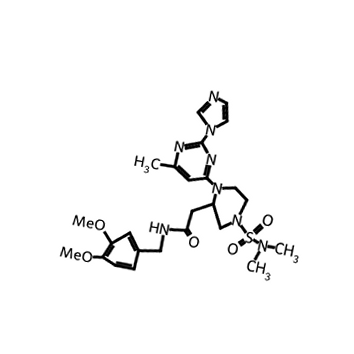 COc1ccc(CNC(=O)CC2CN(S(=O)(=O)N(C)C)CCN2c2cc(C)nc(-n3ccnc3)n2)cc1OC